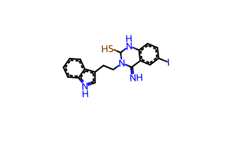 N=C1c2cc(I)ccc2NC(S)N1CCc1c[nH]c2ccccc12